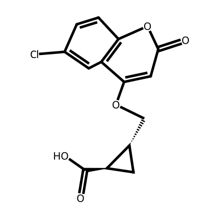 O=C(O)[C@@H]1C[C@H]1COc1cc(=O)oc2ccc(Cl)cc12